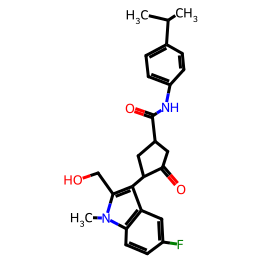 CC(C)c1ccc(NC(=O)C2CC(=O)C(c3c(CO)n(C)c4ccc(F)cc34)C2)cc1